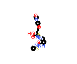 O=C(Nc1nc2ccccc2s1)c1cccc2c1CN(c1nc(C(=O)O)c(CCCOc3ccc(N4CCOCC4)cc3)s1)CC2